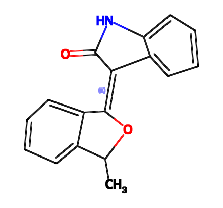 CC1O/C(=C2/C(=O)Nc3ccccc32)c2ccccc21